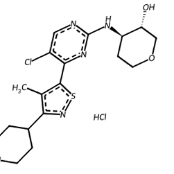 Cc1c(C2CCNCC2)nsc1-c1nc(N[C@@H]2CCOC[C@H]2O)ncc1Cl.Cl